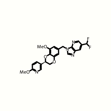 COc1ccc([C@@H]2COc3cc(Cn4cnc5cc(C(F)F)cnc54)cc(OC)c3O2)cn1